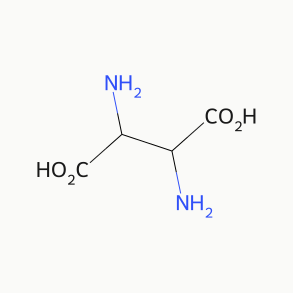 NC(C(=O)O)C(N)C(=O)O